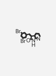 O=C1Nc2ncccc2C1=Cc1cc(Br)cc(Br)c1